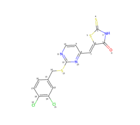 O=C1NC(=S)S/C1=C\c1ccnc(SCc2ccc(Cl)c(Cl)c2)n1